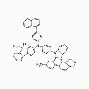 CC1C=Cc2c(c3c(c4c2ccc2ccccc24)C2C=CC=CC2N3c2ccc(N(c3ccc(-c4cccc5ccccc45)cc3)c3ccc4c(c3)C(C)(C)c3ccccc3-4)cc2)C1